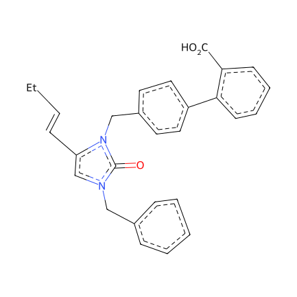 CC/C=C/c1cn(Cc2ccccc2)c(=O)n1Cc1ccc(-c2ccccc2C(=O)O)cc1